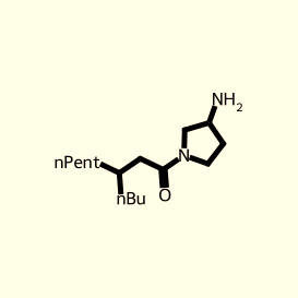 CCCCCC(CCCC)CC(=O)N1CCC(N)C1